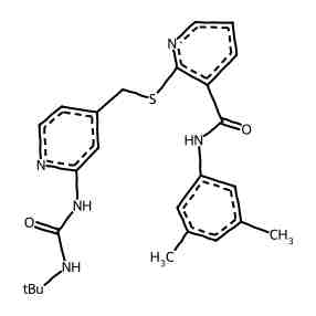 Cc1cc(C)cc(NC(=O)c2cccnc2SCc2ccnc(NC(=O)NC(C)(C)C)c2)c1